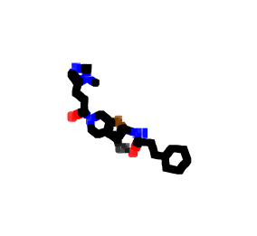 Cn1cncc1CCC(=O)N1CCc2c(sc(NC(=O)CCC3CCCCC3)c2C#N)C1